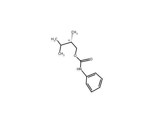 CC(C)[C@H](C)COC(=O)Nc1ccccc1